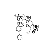 CS(=O)(=O)C(c1nnc(C[C@@H]2NS(=O)(=O)C(C3CC3)C2=O)o1)c1nc2ccc(-c3ccccc3)cc2s1